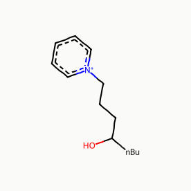 CCCCC(O)CCC[n+]1ccccc1